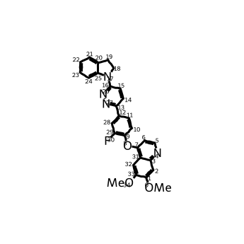 COc1cc2nccc(Oc3ccc(-c4ccc(N5CCc6ccccc65)nn4)cc3F)c2cc1OC